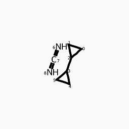 C1CC1C1CC1.N=C=N